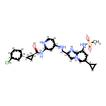 CS(=O)(=O)Nc1cc(C2CC2)cn2cc(CNc3ccnc(NC(=O)[C@H]4C[C@@H]4c4cccc(Cl)c4)c3)nc12